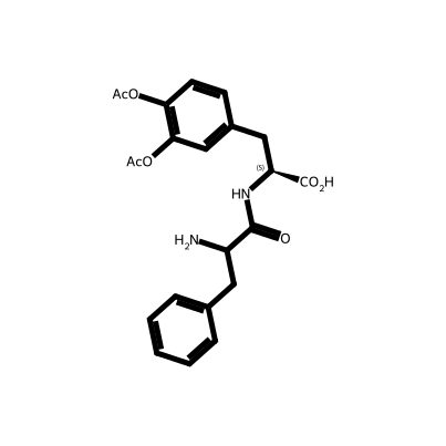 CC(=O)Oc1ccc(C[C@H](NC(=O)C(N)Cc2ccccc2)C(=O)O)cc1OC(C)=O